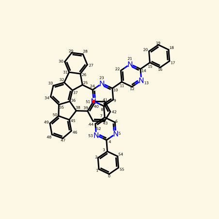 c1ccc(-c2ncc(-c3cc(-c4cnc(-c5ccccc5)nc4)nc(C4c5ccccc5-c5ccc6c(c54)C(c4ccccc4)c4ccccc4-6)n3)cn2)cc1